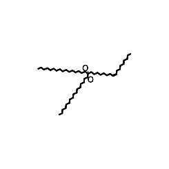 CCCCCCCC/C=C\CCCCCCC[C](C(=O)CCCCCCCCCCCCCCC)C(=O)CCCCCCCCCCCCCCC